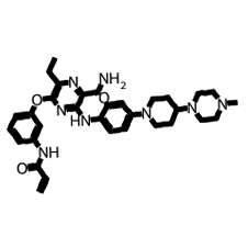 C=CC(=O)Nc1cccc(Oc2nc(Nc3ccc(N4CCC(N5CCN(C)CC5)CC4)cc3)c(C(N)=O)nc2CC)c1